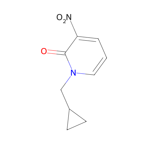 O=c1c([N+](=O)[O-])cccn1CC1CC1